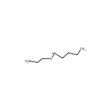 CCCCNOCCN